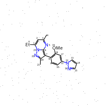 CCc1cc(C)nc2c(-c3ccc(-n4cccn4)cc3OC)c(C)nn12